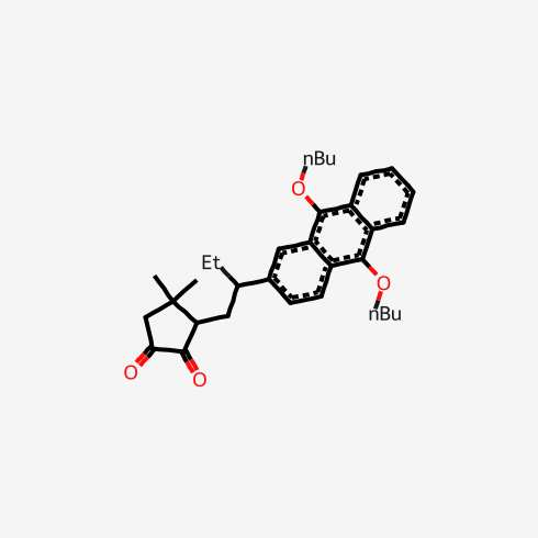 CCCCOc1c2ccccc2c(OCCCC)c2cc(C(CC)CC3C(=O)C(=O)CC3(C)C)ccc12